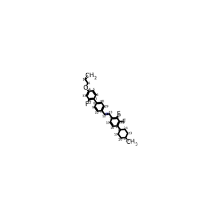 C=CCOc1ccc(-c2ccc(/C=C/c3ccc(C4CCC(C)CC4)c(F)c3F)cc2)c(F)c1